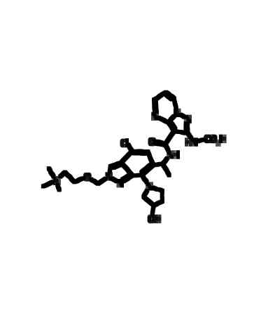 CC(NC(=O)c1c(NC(=O)O)nn2cccnc12)c1cc(Cl)c2cn(COCC[Si](C)(C)C)nc2c1N1CCC(O)C1